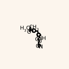 CC(C)C(=O)N1CCC(Cc2ccc(NC(=O)OCc3cnco3)cc2)CC1